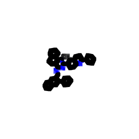 C=N/C(=N\C(=N/Cc1cc2ccccc2cc1-c1ccccc1)c1ccc2ccccc2c1)c1ccc2nc(C3=CC=CCC3)ccc2c1